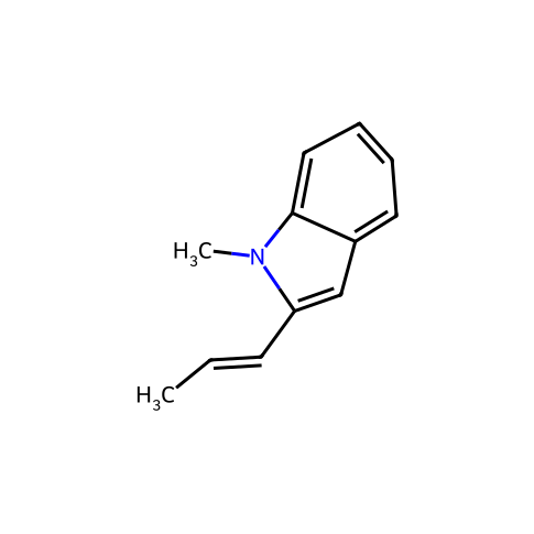 CC=Cc1cc2ccccc2n1C